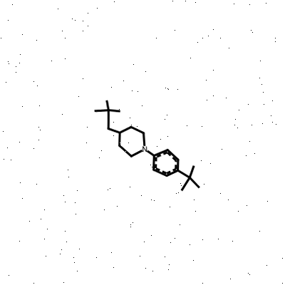 CC(C)(C)CC1CCN(c2ccc(C(C)(C)C)cc2)CC1